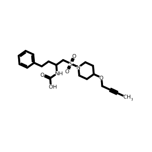 CC#CCOC1CCN(S(=O)(=O)CC(CCc2ccccc2)NC(=O)O)CC1